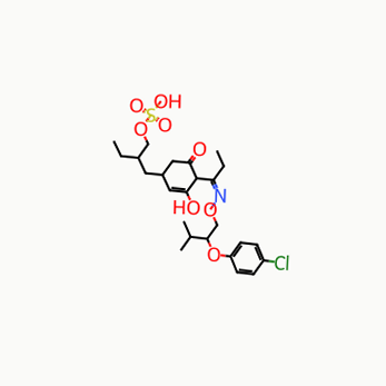 CCC(=NOCC(Oc1ccc(Cl)cc1)C(C)C)C1C(=O)CC(CC(CC)COS(=O)(=O)O)C=C1O